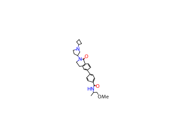 COCC(C)NC(=O)c1ccc(-c2ccc3c(c2)CCN(C2CCN(C4CCC4)C2)C3=O)cc1